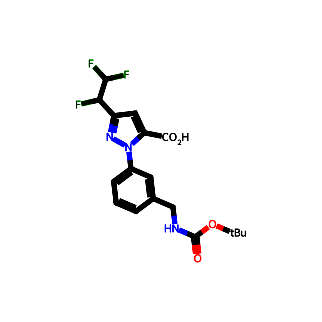 CC(C)(C)OC(=O)NCc1cccc(-n2nc(C(F)C(F)F)cc2C(=O)O)c1